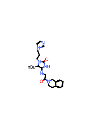 CCCCC1C(=NCC(=O)N2CCc3ccccc3C2)NC(=O)N1CCCn1ccnc1